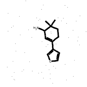 CC1(C)CCC(c2ccoc2)=CC1N